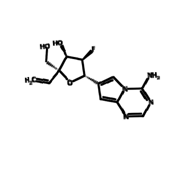 C=C[C@]1(CO)O[C@@H](c2cc3ncnc(N)n3c2)[C@H](F)[C@@H]1O